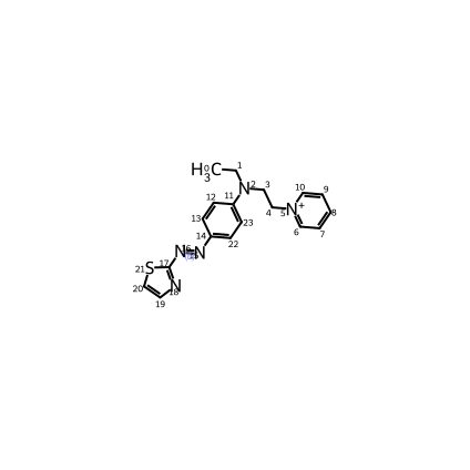 CCN(CC[n+]1ccccc1)c1ccc(/N=N/c2nccs2)cc1